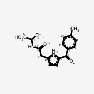 Cc1ccc(C(=O)c2ccc(CC(=O)NC(C)C(=O)O)[nH]2)cc1